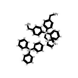 CC(C)Cc1ccc([Si](Cn2ccnc2)(c2ccccc2)c2ccc(CC(C)C)cc2)cc1.c1ccc(B(c2ccccc2)c2ccccc2)cc1